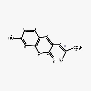 CC/C(=C\c1cc2ccc(O)cc2oc1=O)C(=O)O